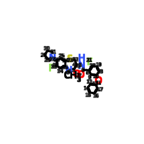 CN1C(=O)[C@@H](NC(=O)c2cc(Oc3ccccc3)ccc2F)CSc2cc(N3CCCC3)c(F)cc21